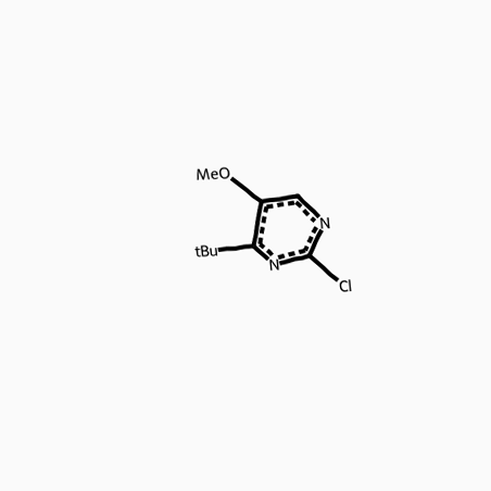 COc1cnc(Cl)nc1C(C)(C)C